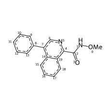 CONC(=O)c1ncc(-c2ccccc2)c2ccccc12